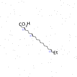 CC/C=C/CCCCCCCC/C=C/CC/C=C/CC(=O)O